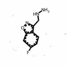 NNCc1noc2cc(F)ccc12